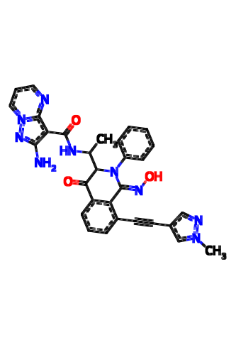 CC(NC(=O)c1c(N)nn2cccnc12)C1C(=O)c2cccc(C#Cc3cnn(C)c3)c2C(=NO)N1c1ccccc1